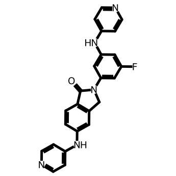 O=C1c2ccc(Nc3ccncc3)cc2CN1c1cc(F)cc(Nc2ccncc2)c1